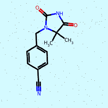 CC1(C)C(=O)NC(=O)N1Cc1ccc(C#N)cc1